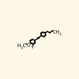 CCCCc1ccc(C#Cc2ccc(OCC)c(F)c2)cc1